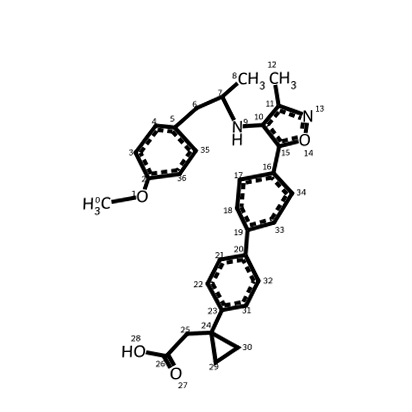 COc1ccc(CC(C)Nc2c(C)noc2-c2ccc(-c3ccc(C4(CC(=O)O)CC4)cc3)cc2)cc1